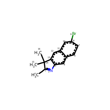 CC1=Nc2cc3ccc(Br)cc3cc2C1(C)C